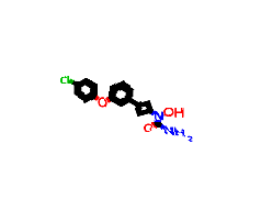 NC(=O)N(O)C1CC(c2cccc(Oc3ccc(Cl)cc3)c2)C1